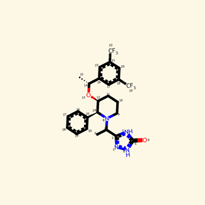 CC(c1n[nH]c(=O)[nH]1)N1CCC[C@H](O[C@H](C)c2cc(C(F)(F)F)cc(C(F)(F)F)c2)[C@@H]1c1ccccc1